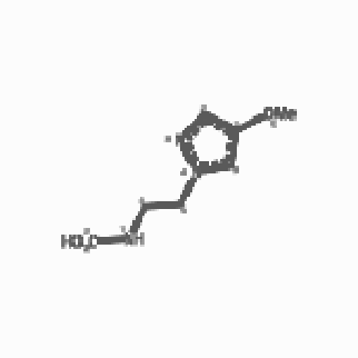 COc1cnn(CCNC(=O)O)c1